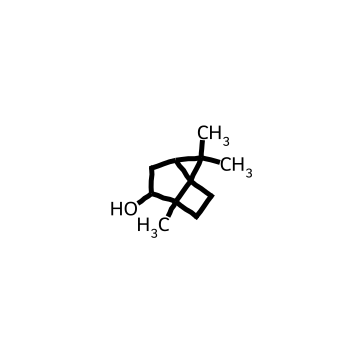 CC1(C)C2CC(O)C3(C)CCC213